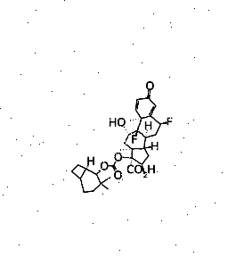 C[C@@H]1C[C@H]2[C@@H]3C[C@H](F)C4=CC(=O)C=C[C@]4(C)[C@@]3(F)[C@@H](O)C[C@]2(C)[C@@]1(OC(=O)O[C@@H]1[C@@H]2CCC2CCC1(C)C)C(=O)O